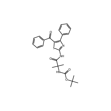 CC(C)(C)OC(=O)NC(C)(C)C(=O)Nc1nc(-c2ccccc2)c(C(=O)c2ccccc2)s1